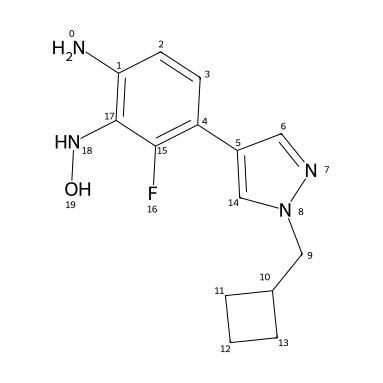 Nc1ccc(-c2cnn(CC3CCC3)c2)c(F)c1NO